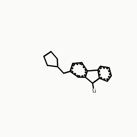 [Li][CH]1c2ccccc2-c2ccc(CC3CCCC3)cc21